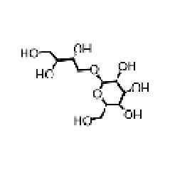 OC[C@H]1O[C@@H](OC[C@@H](O)[C@@H](O)CO)[C@@H](O)[C@@H](O)C1O